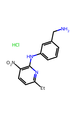 CCc1ccc([N+](=O)[O-])c(Nc2cccc(CN)c2)n1.Cl